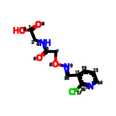 O=C(O)CNC(=O)CON=Cc1cccnc1Cl